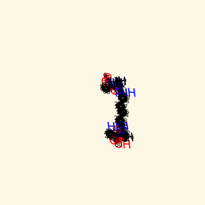 COC(=O)N[C@H](C(=O)N1[C@@H]2C[C@H]2C[C@H]1c1nc2cc(-c3ccc4cc(-c5ccc6[nH]c([C@@H]7C[C@H]8C[C@H]8N7C(=O)[C@@H](c7ccccc7)N(C)C(=O)O)nc6c5)ccc4c3)ccc2[nH]1)c1ccccc1